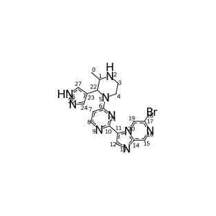 CC1NCCN(c2ccnc(-c3cnc4cnc(Br)cn34)n2)C1c1cn[nH]c1